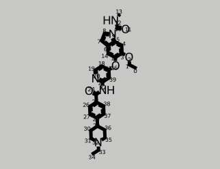 CCOc1cc2c(ccn2C(=O)NC)cc1Oc1ccnc(NC(=O)c2ccc(C3CCN(CC)CC3)cc2)c1